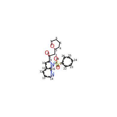 O=C(CC1CCCCO1)c1cc2cccnc2n1S(=O)(=O)c1ccccc1